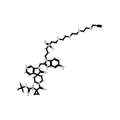 C#CCOCCOCCOCCOCCS(=O)(=O)CCCn1c(CN2C(=O)C3(CCN(C(=O)C4(NC(=O)OC(C)(C)C)CC4)CC3)c3ccncc32)nc2cc(Cl)ccc21